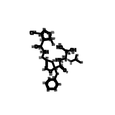 CC(C)C[C@H](NC(=O)C1(Cc2ccccc2)CC(CNC(=O)c2c(Cl)cnn2C)=NO1)B(O)O